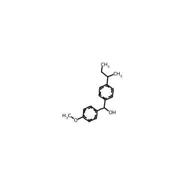 CCC(C)c1ccc(C(O)c2ccc(OC)cc2)cc1